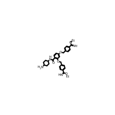 CCOC(=N)c1ccc(COc2ccc(C(=O)NC3CCC(N)CC3)c(OCc3ccc(C(=N)OCC)cc3)c2)cc1